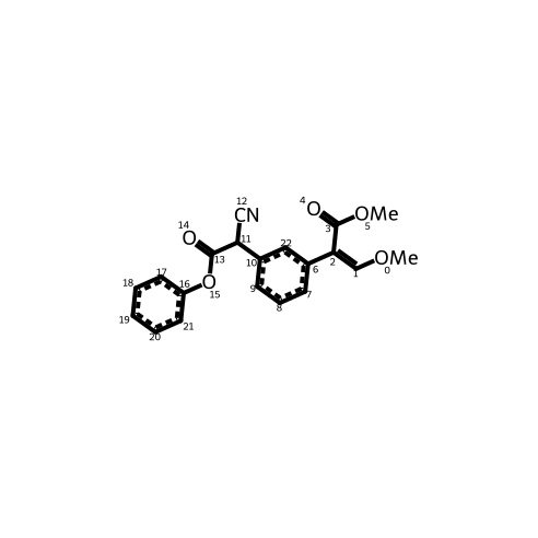 COC=C(C(=O)OC)c1cccc(C(C#N)C(=O)Oc2ccccc2)c1